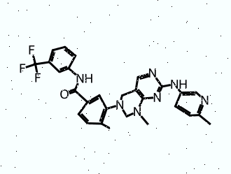 Cc1ccc(Nc2ncc3c(n2)N(C)CN(c2cc(C(=O)Nc4cccc(C(F)(F)F)c4)ccc2C)C3)cn1